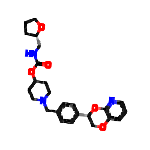 O=C(NC[C@@H]1CCCO1)OC1CCN(Cc2ccc([C@H]3COc4cccnc4O3)cc2)CC1